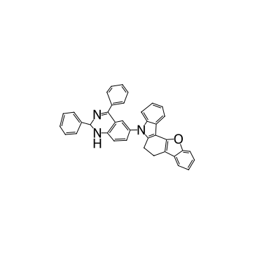 c1ccc(C2=NC(c3ccccc3)Nc3ccc(-n4c5c(c6ccccc64)-c4oc6ccccc6c4CC5)cc32)cc1